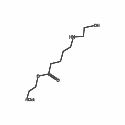 CCCCCCCCCCOC(=O)CCCCNCCO